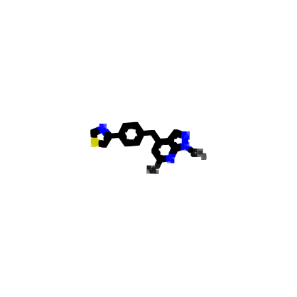 Cn1ncc2c(Cc3ccc(-c4cscn4)cc3)cc(C#N)nc21